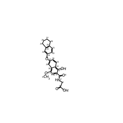 COc1nc(C(=O)NCC(=O)O)c(O)c2ccc(Oc3ccc4c(c3)CCCC4)cc12